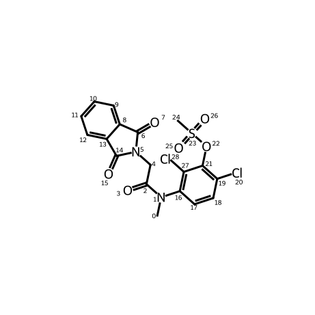 CN(C(=O)CN1C(=O)c2ccccc2C1=O)c1ccc(Cl)c(OS(C)(=O)=O)c1Cl